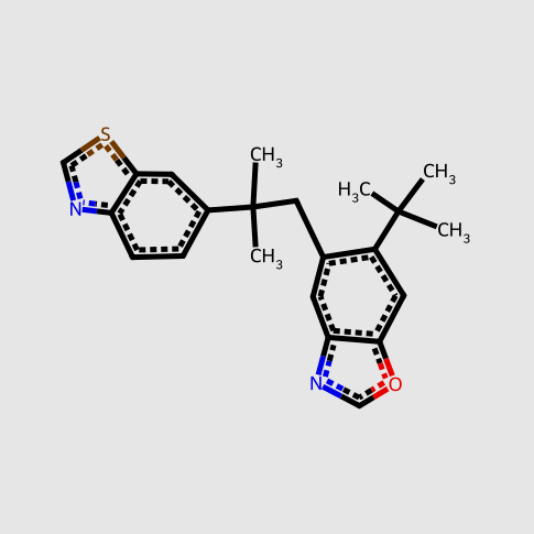 CC(C)(C)c1cc2ocnc2cc1CC(C)(C)c1ccc2ncsc2c1